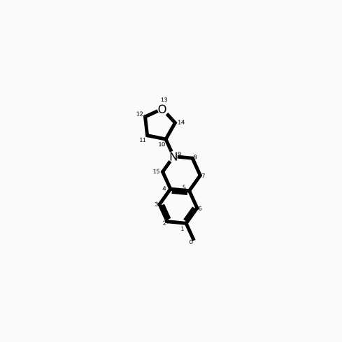 Cc1ccc2c(c1)CCN(C1CCOC1)C2